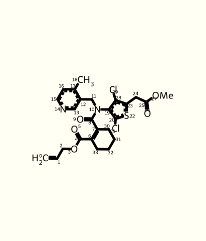 C=CCOC(=O)C1=C(C(=O)N(Cc2cnccc2C)c2c(Cl)sc(CC(=O)OC)c2Cl)CCCC1